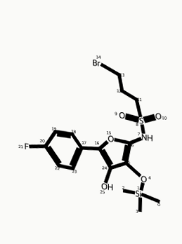 C[Si](C)(C)Oc1c(NS(=O)(=O)CCCBr)oc(-c2ccc(F)cc2)c1O